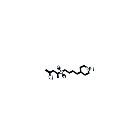 C=C(Cl)CC(C)S(=O)(=O)CCCCC1CCNCC1